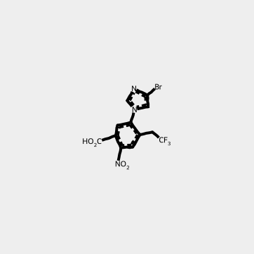 O=C(O)c1cc(-n2cnc(Br)c2)c(CC(F)(F)F)cc1[N+](=O)[O-]